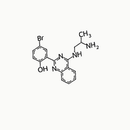 CC(N)CNc1nc(-c2cc(Br)ccc2O)nc2ccccc12